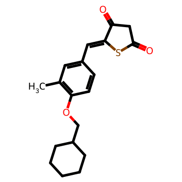 Cc1cc(/C=C2\SC(=O)CC2=O)ccc1OCC1CCCCC1